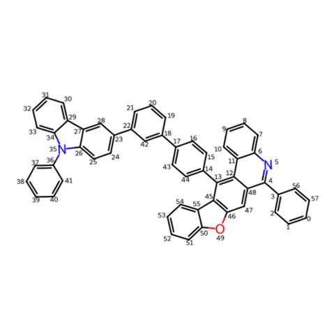 c1ccc(-c2nc3ccccc3c3c(-c4ccc(-c5cccc(-c6ccc7c(c6)c6ccccc6n7-c6ccccc6)c5)cc4)c4c(cc23)oc2ccccc24)cc1